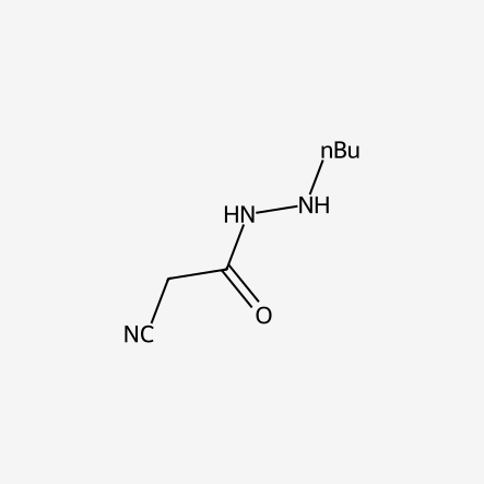 CCCCNNC(=O)CC#N